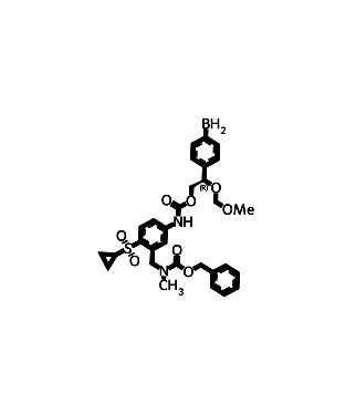 Bc1ccc([C@H](COC(=O)Nc2ccc(S(=O)(=O)C3CC3)c(CN(C)C(=O)OCc3ccccc3)c2)OCOC)cc1